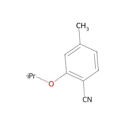 C[C](C)Oc1cc(C)ccc1C#N